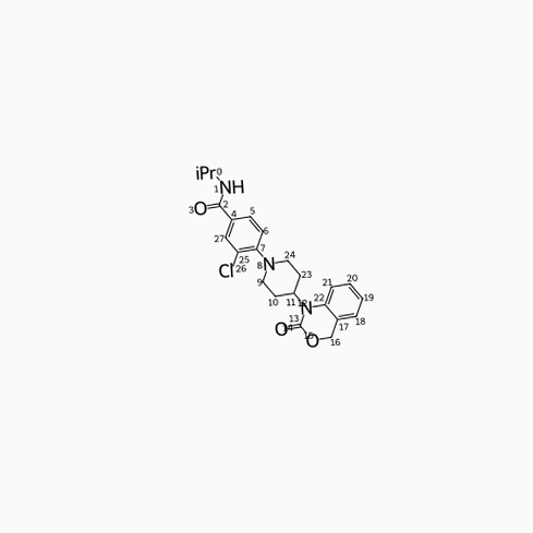 CC(C)NC(=O)c1ccc(N2CCC(N3C(=O)OCc4ccccc43)CC2)c(Cl)c1